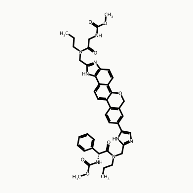 CCCN(Cc1nc2ccc3c4c(ccc3c2[nH]1)-c1ccc(-c2cnc(CN(CCC)C(=O)[C@H](NC(=O)OC)c3ccccc3)[nH]2)cc1CO4)C(=O)CNC(=O)OC